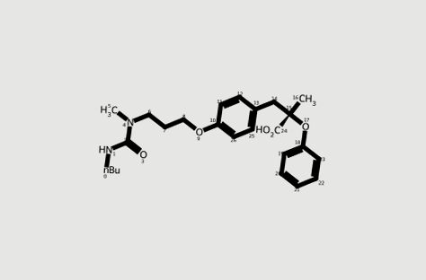 CCCCNC(=O)N(C)CCCOc1ccc(C[C@](C)(Oc2ccccc2)C(=O)O)cc1